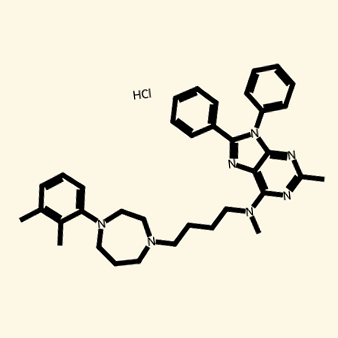 Cc1nc(N(C)CCCCN2CCCN(c3cccc(C)c3C)CC2)c2nc(-c3ccccc3)n(-c3ccccc3)c2n1.Cl